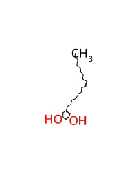 CCCCCCCC/C=C\CCCCCCCc1cc(O)cc(O)c1